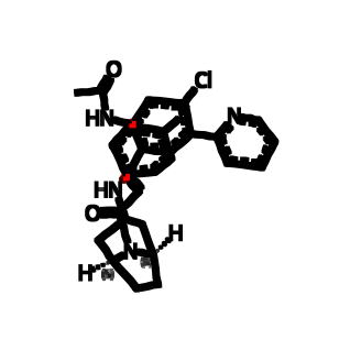 CC(=O)Nc1cc(Cl)c(-c2ccccn2)cc1C=CC(=O)N1[C@@H]2CC[C@H]1CC(Nc1ccc(F)cc1)C2